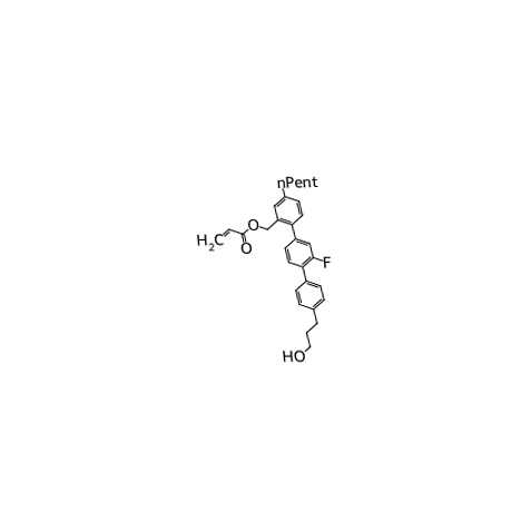 C=CC(=O)OCc1cc(CCCCC)ccc1-c1ccc(-c2ccc(CCCO)cc2)c(F)c1